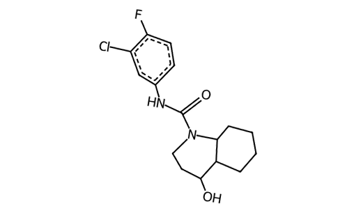 O=C(Nc1ccc(F)c(Cl)c1)N1CCC(O)C2CCCCC21